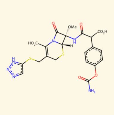 CO[C@@]1(NC(=O)C(C(=O)O)c2ccc(OC(N)=O)cc2)C(=O)N2C(C(=O)O)=C(CSc3cnn[nH]3)CS[C@H]21